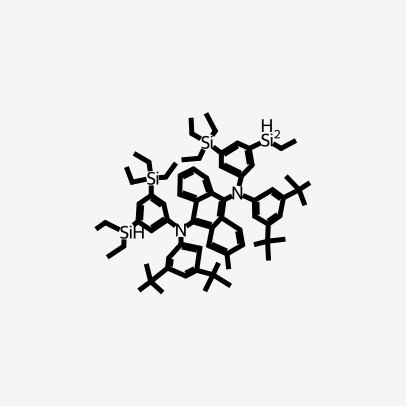 CC[SiH2]c1cc(N(c2cc(C(C)(C)C)cc(C(C)(C)C)c2)c2c3ccccc3c(N(c3cc(C(C)(C)C)cc(C(C)(C)C)c3)c3cc([SiH](CC)CC)cc([Si](CC)(CC)CC)c3)c3cc(C)ccc23)cc([Si](CC)(CC)CC)c1